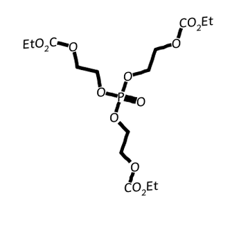 CCOC(=O)OCCOP(=O)(OCCOC(=O)OCC)OCCOC(=O)OCC